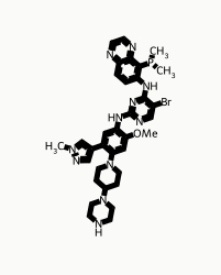 COc1cc(N2CCC(N3CCNCC3)CC2)c(-c2cnn(C)c2)cc1Nc1ncc(Br)c(Nc2ccc3nccnc3c2P(C)C)n1